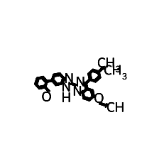 C#CCOc1ccc2nc(-c3nc4ccc(-c5ccccc5C=O)cc4[nH]3)nc(-c3ccc(C(C)C)cc3)c2c1